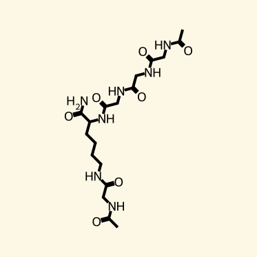 CC(=O)NCC(=O)NCCCCC(NC(=O)CNC(=O)CNC(=O)CNC(C)=O)C(N)=O